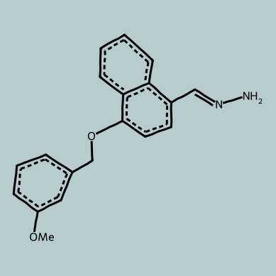 COc1cccc(COc2ccc(C=NN)c3ccccc23)c1